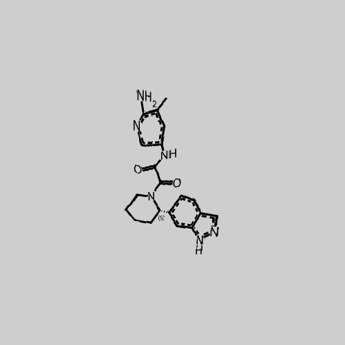 Cc1cc(NC(=O)C(=O)N2CCCC[C@H]2c2ccc3cn[nH]c3c2)cnc1N